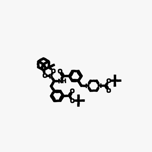 CC(C)(C)OC(=O)c1cccc(CC(NC(=O)c2cccc(CN3CCN(C(=O)OC(C)(C)C)CC3)c2)B2OC3CC4CC(C4(C)C)C3(C)O2)c1